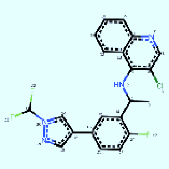 CC(Nc1c(Cl)cnc2ccccc12)c1cc(-c2cnn(C(F)F)c2)ccc1F